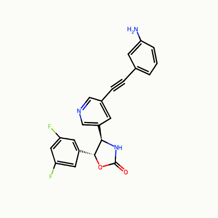 Nc1cccc(C#Cc2cncc([C@H]3NC(=O)O[C@@H]3c3cc(F)cc(F)c3)c2)c1